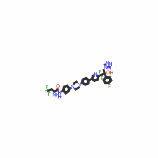 NC(CC(F)(F)F)C(=O)Nc1ccc(N2CCN(c3ccc(-c4ccc(C(F)(F)[C@](O)(Cn5cnnn5)c5ccc(F)cc5F)nc4)cc3)CC2)cc1